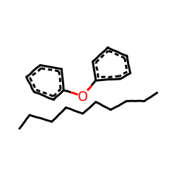 CCCCCCCCCC.c1ccc(Oc2ccccc2)cc1